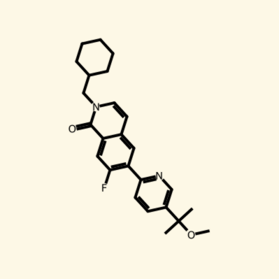 COC(C)(C)c1ccc(-c2cc3ccn(CC4CCCCC4)c(=O)c3cc2F)nc1